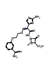 C[C@H]1[C@H](NC(=O)/C(=N\OCCOc2cccc(C(=N)N)c2)c2csc(N)n2)C(=O)N1S(=O)(=O)O